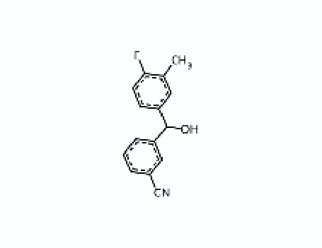 Cc1cc(C(O)c2cccc(C#N)c2)ccc1F